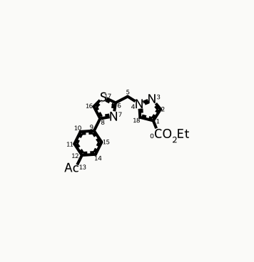 CCOC(=O)c1cnn(Cc2nc(-c3ccc(C(C)=O)cc3)cs2)c1